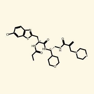 C=C(CN1CCSCC1)C(=O)NC[C@@H](NC(=O)[C@H](Cc1nc2ccc(Cl)cc2s1)NC(=O)CC)C1CCOCC1